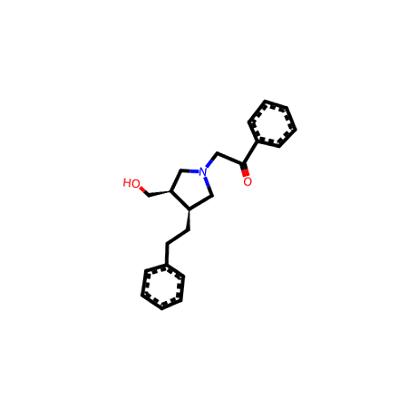 O=C(CN1C[C@@H](CCc2ccccc2)[C@@H](CO)C1)c1ccccc1